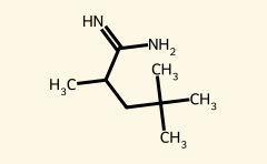 CC(CC(C)(C)C)C(=N)N